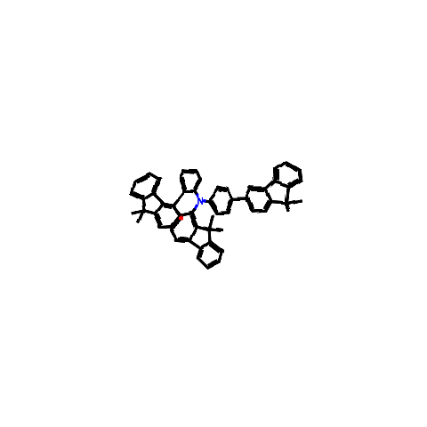 CC1(C)c2ccccc2-c2cc(-c3ccc(N(c4ccccc4-c4cccc5c4-c4ccccc4C5(C)C)c4cccc5c4C(C)(C)c4ccccc4-5)cc3)ccc21